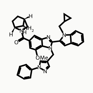 COc1cc(C(=O)N2C[C@H]3CC[C@@H]2[C@@H]3N)cc2nc(-c3cc4ccccc4n3CC3CC3)n(Cc3cnn(-c4ccccc4)c3)c12